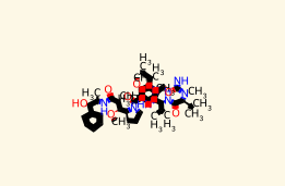 CC[C@H](C)[C@@H]([C@@H](CC(=O)N1CCC[C@H]1[C@H](OC)[C@@H](C)C(=O)N[C@H](C)[C@@H](O)c1ccccc1)OC)N(C)C(=N)[C@@H](NC(=O)[C@H](C(C)C)N(C)C(=N)OCc1ccc(C)cc1)C(C)C